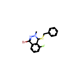 CN1N=C(Br)c2cccc(F)c2C1SCc1ccccc1